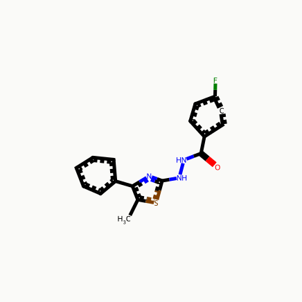 Cc1sc(NNC(=O)c2ccc(F)cc2)nc1-c1ccccc1